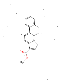 COC(=O)C1=CCc2c1ccc1c2ccc2ccccc21